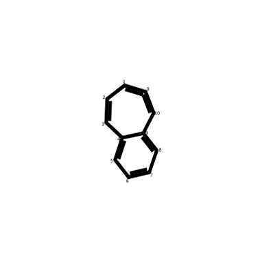 C1=CC=Cc2ccccc2C=1